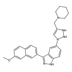 COc1ccc2ccc(-c3n[nH]c4ccc(N5C=C(CN6CCCCC6)NN5)cc34)cc2c1